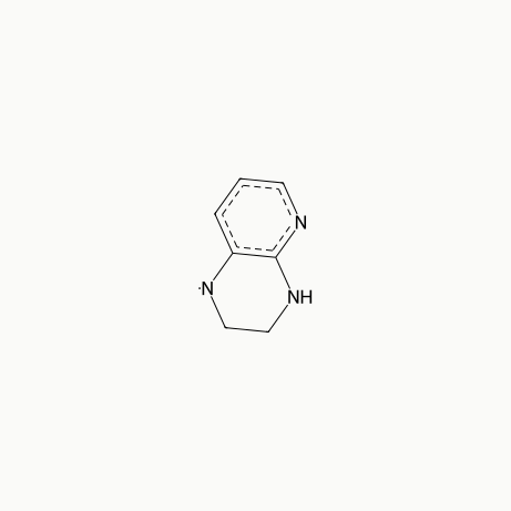 c1cnc2c(c1)[N]CCN2